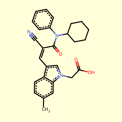 Cc1ccc2c(C=C(C#N)C(=O)N(c3ccccc3)C3CCCCC3)cn(CC(=O)O)c2c1